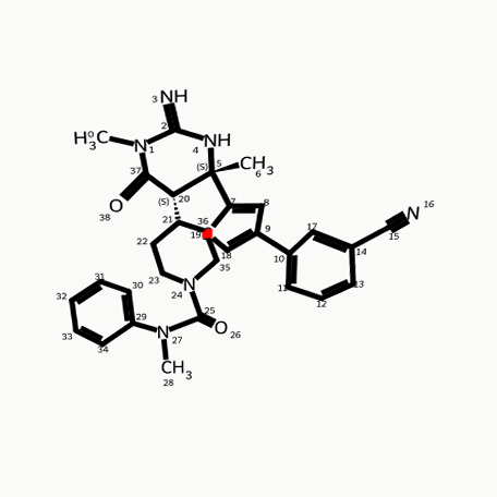 CN1C(=N)N[C@](C)(c2cc(-c3cccc(C#N)c3)cs2)[C@H](C2CCN(C(=O)N(C)c3ccccc3)CC2)C1=O